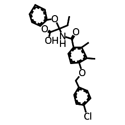 CCC(NC(=O)c1ccc(OCc2ccc(Cl)cc2)c(C)c1C)(Oc1ccccc1)C(=O)O